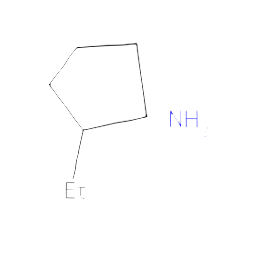 CCC1CCCC1.N